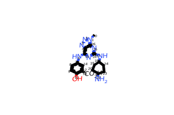 Cn1nnc2c(Nc3ccc(O)c(C(=O)O)c3)nc(NC3CCC(N)CC3)nc21